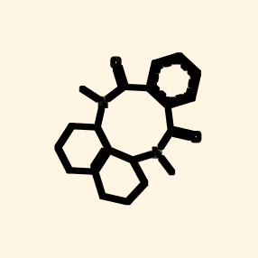 CN1C(=O)c2ccccc2C(=O)N(C)C2CCCC3=C2C1CCC3